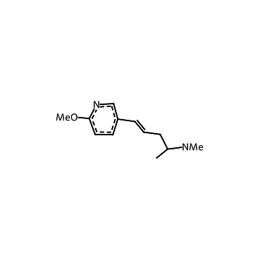 CNC(C)CC=Cc1ccc(OC)nc1